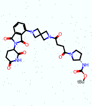 CC(C)(C)OC(=O)N[C@H]1CCN(C(=O)CCC(=O)N2CC3(C2)CN(c2cccc4c2C(=O)N(C2CCC(=O)NC2=O)C4=O)C3)C1